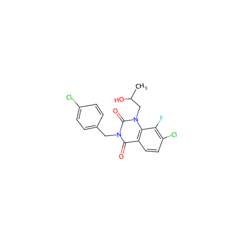 CC(O)Cn1c(=O)n(Cc2ccc(Cl)cc2)c(=O)c2ccc(Cl)c(F)c21